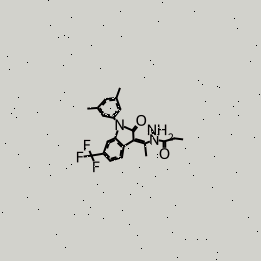 CCC(=O)N(N)/C(C)=C1\C(=O)N(c2cc(C)cc(C)c2)c2cc(C(F)(F)F)ccc21